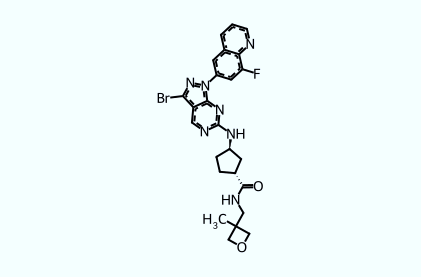 CC1(CNC(=O)[C@@H]2CC[C@@H](Nc3ncc4c(Br)nn(-c5cc(F)c6ncccc6c5)c4n3)C2)COC1